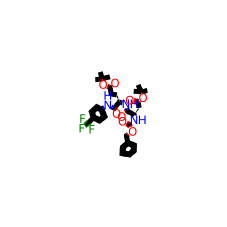 CC(C)(C)OC(=O)CC[C@H](NC(=O)[C@H](CC(=O)OC(C)(C)C)NC(=O)OCc1ccccc1)C(=O)Nc1ccc(C(F)(F)F)cc1